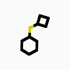 C1CCC(SC2CCC2)CC1